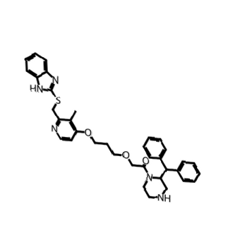 Cc1c(OCCCOCC(=O)N2CCNCC2C(c2ccccc2)c2ccccc2)ccnc1CSc1nc2ccccc2[nH]1